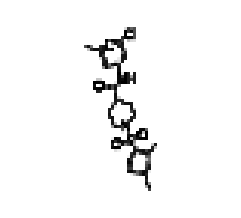 Cc1cc(Cl)cc(NC(=O)C2CCN(S(=O)(=O)c3ccc(C)cc3C)CC2)c1